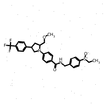 CC[S+]([O-])c1ccc(CNC(=O)c2ccc(N3CC(c4ccc(C(F)(F)F)cc4)CC3COC)cc2)cc1